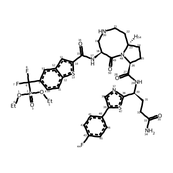 CCOP(=O)(OCC)C(F)(F)c1ccc2sc(C(=O)N[C@H]3CNCC[C@H]4CC[C@@H](C(=O)N[C@@H](CCC(N)=O)c5ncc(-c6ccc(F)cc6)s5)N4C3=O)cc2c1